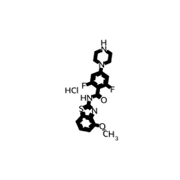 COc1cccc2sc(NC(=O)c3c(F)cc(N4CCNCC4)cc3F)nc12.Cl